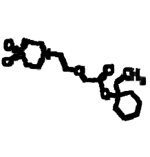 CCC1(OC(=O)COCCN2CCS(=O)(=O)CC2)CCCCC1